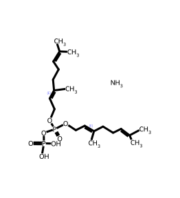 CC(C)=CCC/C(C)=C/COP(=O)(OC/C=C(\C)CCC=C(C)C)OP(=O)(O)O.N